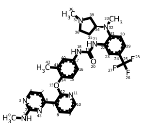 CNc1nccc(-c2cccnc2Oc2ccc(NC(=O)Nc3cc(C(F)(F)F)ccc3N(C)[C@H]3CCN(C)C3)cc2C)n1